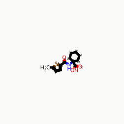 Cc1ccc(C(=O)NC2(C(=O)O)CCCCC2)s1